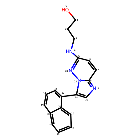 OCCCNc1ccc2ncc(-c3cccc4ccccc34)n2n1